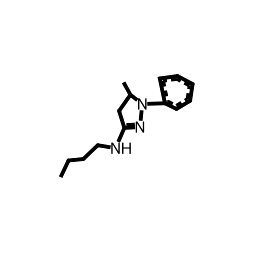 CCCCNC1=NN(c2ccccc2)C(C)C1